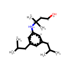 CC(C)Cc1cc(CC(C)C)cc(NC(C)(C)CCO)c1